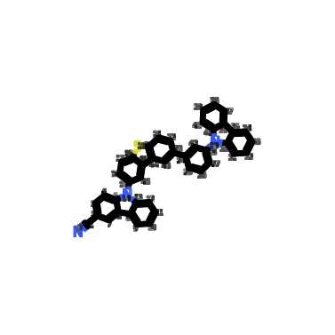 N#Cc1ccc2c(c1)c1ccccc1n2-c1ccc2sc3ccc(-c4cccc(-n5c6ccccc6c6ccccc65)c4)cc3c2c1